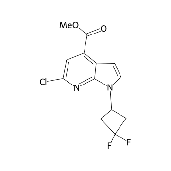 COC(=O)c1cc(Cl)nc2c1ccn2C1CC(F)(F)C1